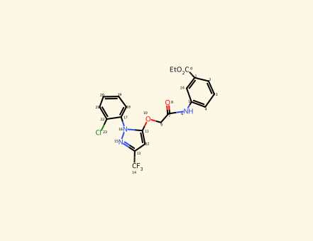 CCOC(=O)c1cccc(NC(=O)COc2cc(C(F)(F)F)nn2-c2ccccc2Cl)c1